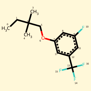 CCC(C)(C)COc1cc(F)cc(C(F)(F)F)c1